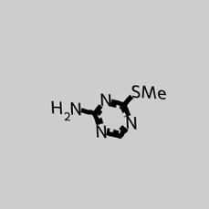 CSc1ncnc(N)n1